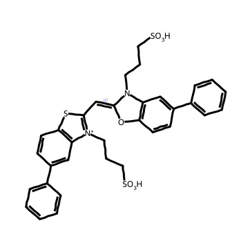 O=S(=O)(O)CCCN1/C(=C/c2sc3ccc(-c4ccccc4)cc3[n+]2CCCS(=O)(=O)O)Oc2ccc(-c3ccccc3)cc21